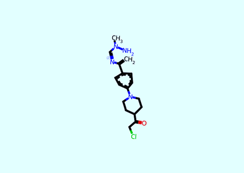 C=C(/N=C\N(C)N)c1ccc(N2CCC(C(=O)CCl)CC2)cc1